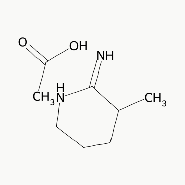 CC(=O)O.CC1CCCNC1=N